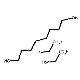 O=C(O)CS.O=C(O)CS.OCCCCCCCCO